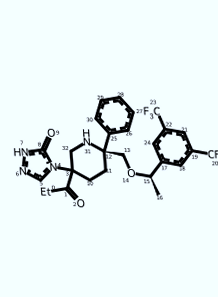 CCC(=O)C1(n2cn[nH]c2=O)CC[C@@](CO[C@H](C)c2cc(C(F)(F)F)cc(C(F)(F)F)c2)(c2ccccc2)NC1